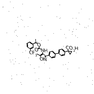 Cc1onc(-c2ccc(-c3ccc(C4(C(=O)O)CC4)cc3)cc2)c1NC(=O)O[C@H](C)c1cccc(C(F)(F)F)c1